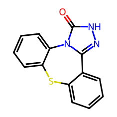 O=c1[nH]nc2n1-c1ccccc1Sc1ccccc1-2